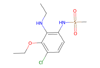 CCNc1c(NS(C)(=O)=O)ccc(Cl)c1OCC